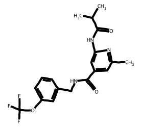 Cc1cc(C(=O)NCc2cccc(OC(F)(F)F)c2)cc(NC(=O)C(C)C)n1